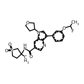 CC(F)Oc1cccc(-c2cn(C3CCOC3)c3cc(C(=O)NC4(C)CCS(=O)(=O)C4)cnc23)c1